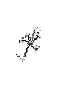 CCCCCC[O][Sn]([CH2]CCC(F)(F)F)([CH2]CCC(F)(F)F)[O][Sn]([CH2]CCC(F)(F)F)([CH2]CCC(F)(F)F)[O]CCCCCC